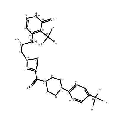 C[C@@H](Cn1ccc(C(=O)N2CCN(c3ncc(C(F)(F)F)cn3)CC2)n1)Nc1cn[nH]c(=O)c1C(F)(F)F